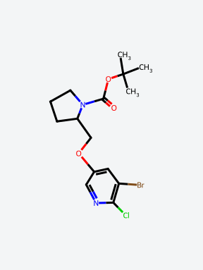 CC(C)(C)OC(=O)N1CCCC1COc1cnc(Cl)c(Br)c1